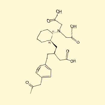 CC(=O)Cc1ccc(CC(CC(=O)O)C[C@H]2CCCC[C@@H]2N(CC(=O)O)CC(=O)O)cc1